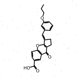 CCCOc1cccc(C=C2CCc3c2oc2ccc(C(=O)O)cc2c3=O)c1